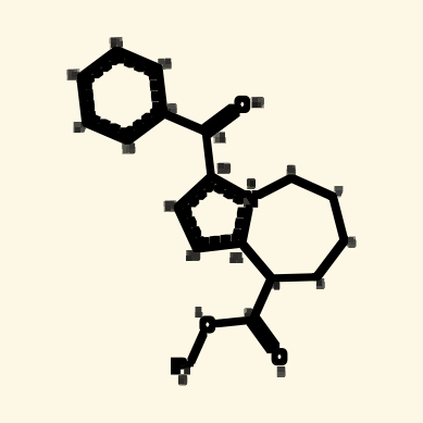 CC(C)OC(=O)C1CCCCn2c(C(=O)c3ccccc3)ccc21